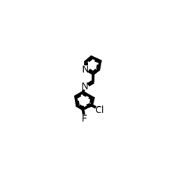 Fc1ccc(/N=C/c2ccccn2)cc1Cl